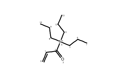 C=CC(=O)[N+](CCC)(CCC)CCC